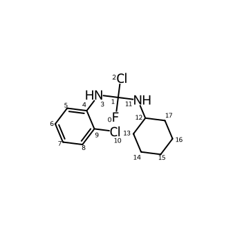 FC(Cl)(Nc1ccccc1Cl)NC1CCCCC1